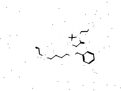 C=CC[Si](C)(C)CCCCOC(c1ccccc1)[C@@H]1NC(C)(C)N(CCO)C1=O